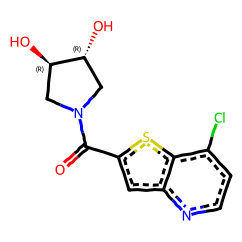 O=C(c1cc2nccc(Cl)c2s1)N1C[C@@H](O)[C@H](O)C1